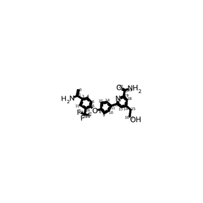 C=C(N)c1ccc(Oc2ccc(-c3cc(CCO)cc(C(N)=O)n3)cc2)c(C(F)(F)F)c1